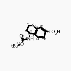 CC(C)(C)OC(=O)N[C@H]1CCSc2cc(C(=O)O)ccc21